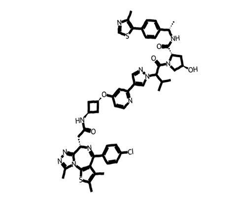 Cc1ncsc1-c1ccc([C@H](C)NC(=O)[C@@H]2C[C@@H](O)CN2C(=O)C(C(C)C)n2cc(-c3cc(O[C@H]4C[C@H](NC(=O)C[C@@H]5N=C(c6ccc(Cl)cc6)c6c(sc(C)c6C)-n6c(C)nnc65)C4)ccn3)cn2)cc1